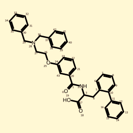 O=C(NC(Cc1ccccc1-c1ccccc1)C(=O)O)c1cccc(OCCN(Cc2ccccc2)Cc2ccccc2)c1